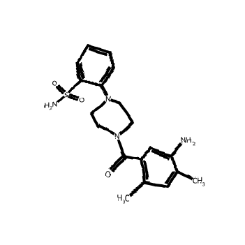 Cc1cc(C)c(C(=O)N2CCN(c3ccccc3S(N)(=O)=O)CC2)cc1N